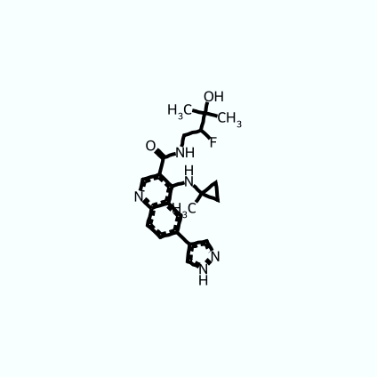 CC1(Nc2c(C(=O)NCC(F)C(C)(C)O)cnc3ccc(-c4cn[nH]c4)cc23)CC1